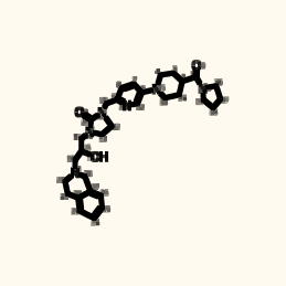 O=C(C1CCN(c2ccc(CN3CCN(CC(O)CN4CCc5ccccc5C4)C3=O)nc2)CC1)N1CCCC1